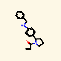 C=CC(=O)N1CCCC1c1ccc(NCc2ccccc2)cc1